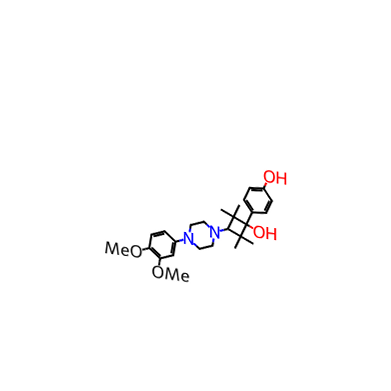 COc1ccc(N2CCN(C3C(C)(C)C(O)(c4ccc(O)cc4)C3(C)C)CC2)cc1OC